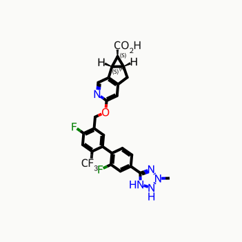 CN1N=C(c2ccc(-c3cc(COc4cc5c(cn4)[C@H]4[C@@H](C5)[C@@H]4C(=O)O)c(F)cc3C(F)(F)F)c(F)c2)NN1